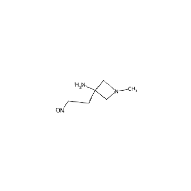 CN1CC(N)(CCN=O)C1